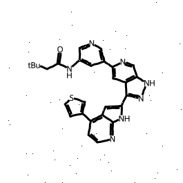 CC(C)(C)CC(=O)Nc1cncc(-c2cc3c(-c4cc5c(-c6ccsc6)ccnc5[nH]4)n[nH]c3cn2)c1